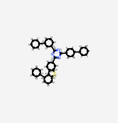 c1ccc(-c2ccc(-c3nc(-c4cccc(-c5ccccc5)c4)nc(-c4ccc5c(c4)sc4cccc(-c6ccccc6)c45)n3)cc2)cc1